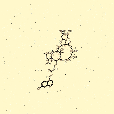 CO[C@]1(C)CC(O[C@H]2[C@H](C)[C@H]3O[C@@H]4O[C@H](C)C[C@H](N(C)C)[C@H]4OC(CCNC(=O)CNc4ccnc5cc(Cl)ccc45)[C@@H](CN(C)[C@H](C)[C@@H](O)[C@](C)(O)[C@@H](I)OC(=O)[C@@H]2C)C[C@@]3(C)O)O[C@@H](C)[C@@H]1O